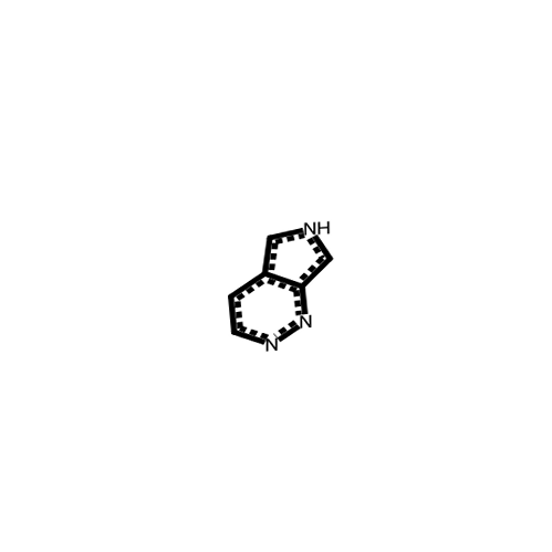 c1cc2c[nH]cc2nn1